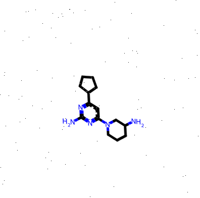 Nc1nc(C2CCCC2)cc(N2CCCC(N)C2)n1